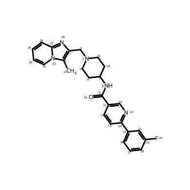 Cc1c(CN2CCC(NC(=O)c3ccc(-c4cccc(F)c4)nc3)CC2)nc2ccccn12